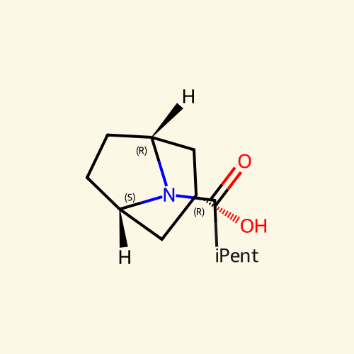 CCCC(C)C(=O)N1[C@@H]2CC[C@H]1C[C@@H](O)C2